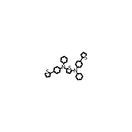 c1ccc(N(c2ccc(-c3cccs3)cc2)c2ccc(N(c3ccccc3)c3ccc(-c4cccs4)cc3)s2)cc1